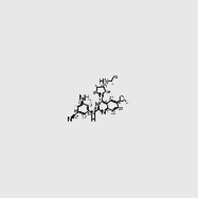 CCN[C@H]1CCN(c2nc(Nc3cc(N)cc(C#N)c3)nc3ccc(OC)cc23)C1